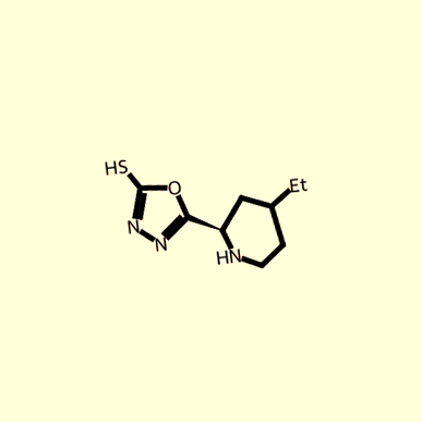 CCC1CCN[C@@H](c2nnc(S)o2)C1